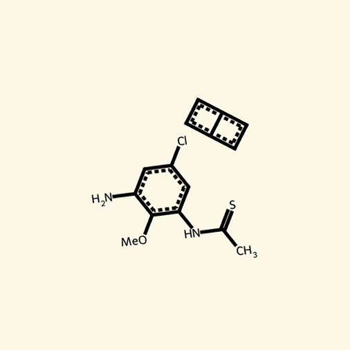 COc1c(N)cc(Cl)cc1NC(C)=S.c1cc2ccc1-2